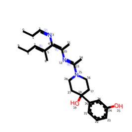 CC\C=N/C(C(/C)=C/CC)=C(C)/N=C(\C)N1CCC(O)(c2cccc(O)c2)CC1